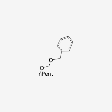 CCCCCOCOCc1ccccc1